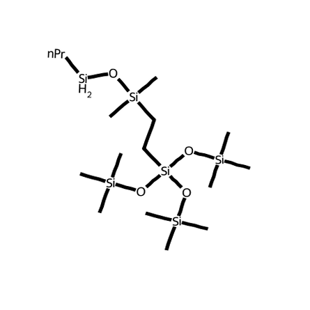 [CH2]CC[SiH2]O[Si](C)(C)CC[Si](O[Si](C)(C)C)(O[Si](C)(C)C)O[Si](C)(C)C